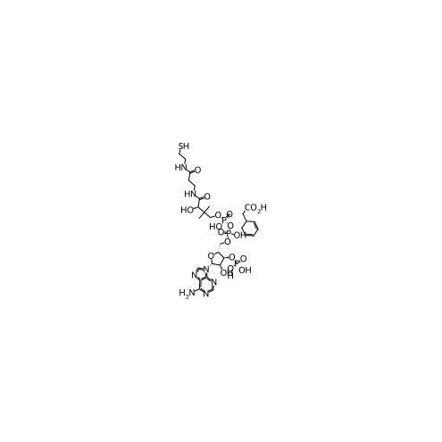 CC(C)(COP(=O)(O)OP(=O)(O)OC[C@H]1O[C@@H](n2cnc3c(N)ncnc32)[C@H](O)[C@@H]1OP(=O)(O)O)[C@@H](O)C(=O)NCCC(=O)NCCS.O=C(O)CC1C=CC=CC1